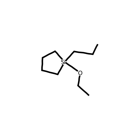 CCC[Si]1(OCC)CCCC1